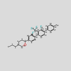 CCCC1CCC(c2ccc(-c3ccc(-c4ccc(C)cc4)c(F)c3C(F)(F)F)cc2)OC1